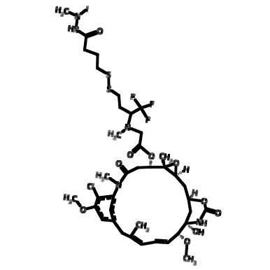 COc1cc2cc(c1Cl)N(C)C(=O)C[C@H](OC(=O)CN(C)C(CCSSCCCC(=O)NN(C)I)C(F)(F)F)[C@]1(C)O[C@H]1C[C@@H]1C[C@@](O)(NC(=O)O1)[C@H](OC)/C=C/C=C(\C)C2